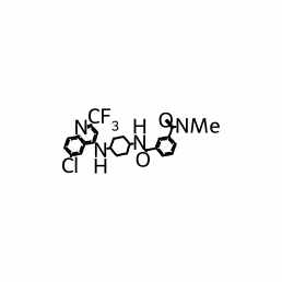 CNC(=O)c1cccc(C(=O)NC2CCC(Nc3cc(C(F)(F)F)nc4ccc(Cl)cc34)CC2)c1